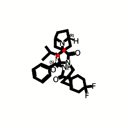 CC(C)N1C(=O)N(CC2CC2)C(=O)C12CC1CC[C@H](C2)N1CC[C@H](NC(=O)C1CCC(F)(F)CC1)c1ccccc1